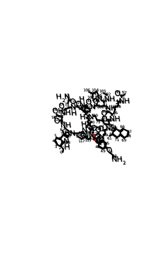 CCc1cccc2c(C[C@@H]3NC(=O)[C@H]([C@@H](C)O)NC(=O)[C@H](CC(N)=O)NC(=O)[C@@H](NC(C)=O)C(C)(C)SSC(C)(C)[C@@H](C(=O)N[C@@H](Cc4ccc(OCCN)cc4)C(=O)N[C@@H](Cc4ccc5ccccc5c4)C(=O)N[C@@](C)(CCCCN)C(=O)N[C@@H](CCCCNC(C)=O)C(=O)N[C@H](CN[C@@H](CCN)CC(C)C)CC(N)=O)NC(=O)[C@H](CCCCNC(C)=O)NC3=O)c[nH]c12